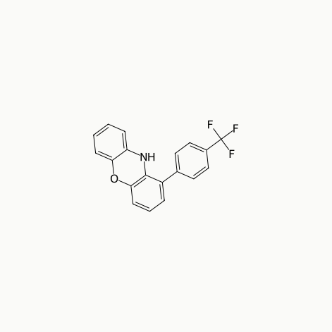 FC(F)(F)c1ccc(-c2cccc3c2Nc2ccccc2O3)cc1